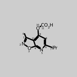 Cc1noc2nc(C(C)C)cc(OC(=O)O)c12